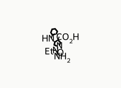 CCN(C(N)=O)c1cc(Nc2ccccc2)c(C(=O)O)cn1